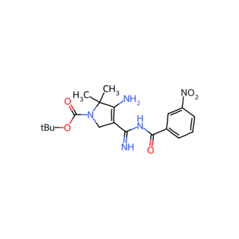 CC(C)(C)OC(=O)N1CC(C(=N)NC(=O)c2cccc([N+](=O)[O-])c2)=C(N)C1(C)C